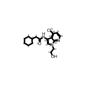 O=C(CC1CCCCC1)Nc1cn(CCO)c2nccc(Cl)c12